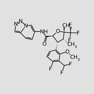 COc1c([C@@H]2[C@@H](C(=O)Nc3ccc4cnnn4c3)O[C@](C)(C(F)(F)F)[C@@H]2C)ccc(F)c1C(F)F